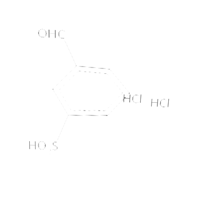 Cl.Cl.O=Cc1cccc(S(=O)(=O)O)c1